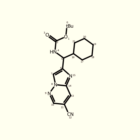 CC(C)(C)OC(=O)NC(c1cn2ncc(C#N)cc2n1)C1CCCCC1